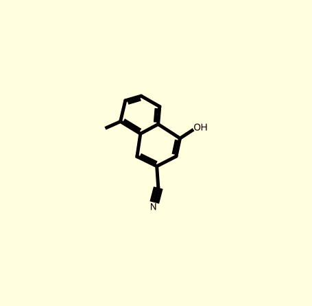 Cc1cccc2c(O)cc(C#N)cc12